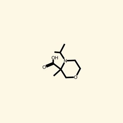 CC(C)N1CCOCC1(C)C(=O)O